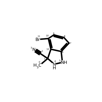 CC1(C#N)NNc2cccc(Br)c21